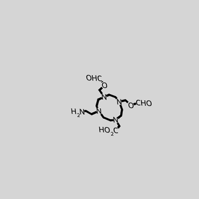 NCCN1CCN(COC=O)CCN(COC=O)CCN(CC(=O)O)CC1